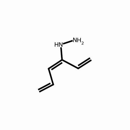 C=C/C=C(\C=C)NN